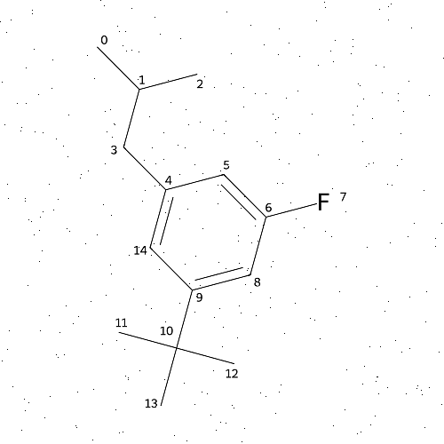 CC(C)Cc1cc(F)cc(C(C)(C)C)c1